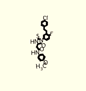 COc1ccc(NC(=O)CC2NC(=S)N(c3ccc(F)c(CCc4ccc(Cl)cc4)c3)C2=O)cc1